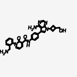 NCc1ccccc1-n1cccc(C(=O)Nc2ccc(-c3cn(C4CC(CO)C4)c4ncnc(N)c34)cc2)c1=O